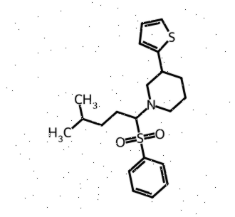 CC(C)CCC(N1CCCC(c2cccs2)C1)S(=O)(=O)c1ccccc1